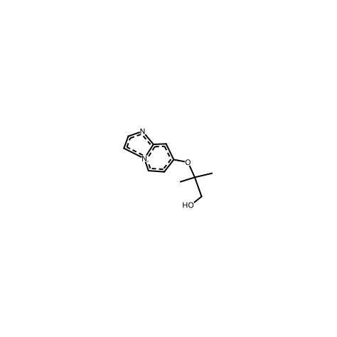 CC(C)(CO)Oc1ccn2ccnc2c1